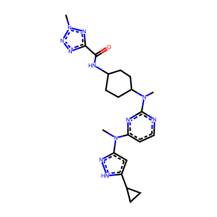 CN(c1cc(C2CC2)[nH]n1)c1ccnc(N(C)C2CCC(NC(=O)c3nnn(C)n3)CC2)n1